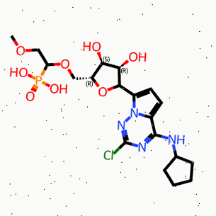 COCC(OC[C@H]1OC(c2ccc3c(NC4CCCC4)nc(Cl)nn23)[C@H](O)[C@@H]1O)P(=O)(O)O